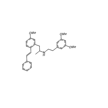 COc1cc(CCNC(C)Cc2cc(OC)ccc2C=Cc2ccccc2)cc(OC)c1